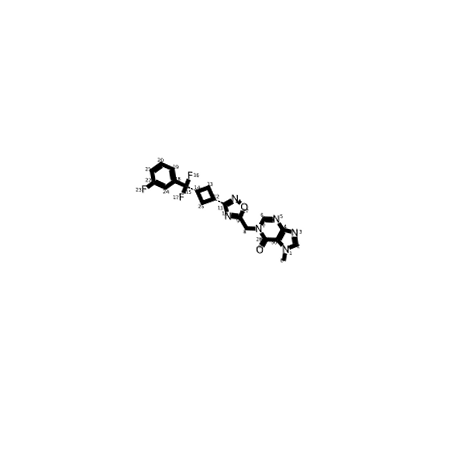 Cn1cnc2ncn(Cc3nc([C@H]4C[C@@H](C(F)(F)c5cccc(F)c5)C4)no3)c(=O)c21